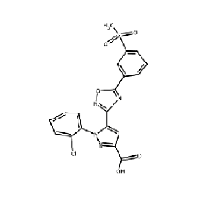 CS(=O)(=O)c1cccc(-c2nc(-c3cc(C(=O)O)nn3-c3ccccc3Cl)no2)c1